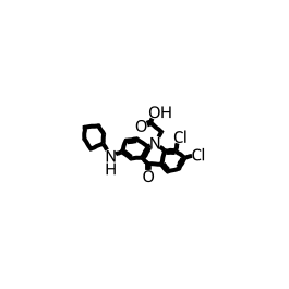 O=C(O)Cn1c2ccc(NC3CCCCC3)cc2c(=O)c2ccc(Cl)c(Cl)c21